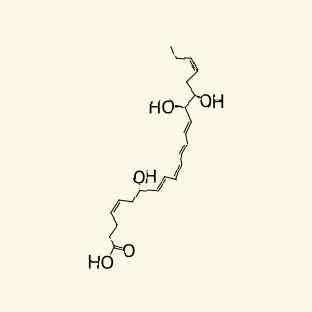 CC/C=C\C[C@@H](O)[C@H](O)/C=C/C=C/C=C\C=C\[C@@H](O)C/C=C\CCC(=O)O